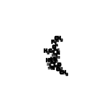 C=CC(F)COc1cnc(CN/C=C2\C(=N)C=CN=C2C(=O)OCC)cc1C